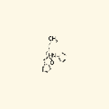 CCCCCC(=Cc1ccccc1)C(=O)Nc1ccccc1